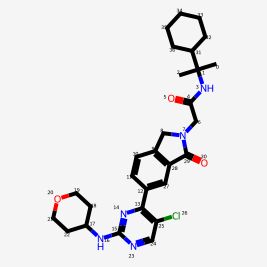 CC(C)(NC(=O)CN1Cc2ccc(-c3nc(NC4CCOCC4)ncc3Cl)cc2C1=O)C1CCCCC1